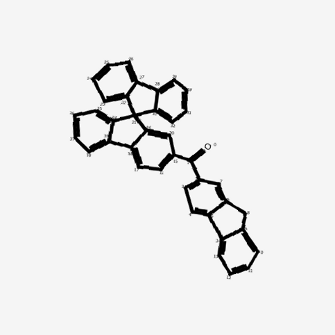 O=C(c1ccc2c(c1)Cc1ccccc1-2)c1ccc2c(c1)C1(c3ccccc3-c3ccccc31)c1ccccc1-2